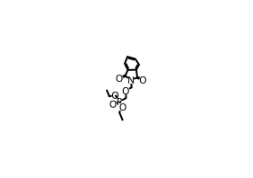 CCOP(=O)(COCN1C(=O)c2ccccc2C1=O)OCC